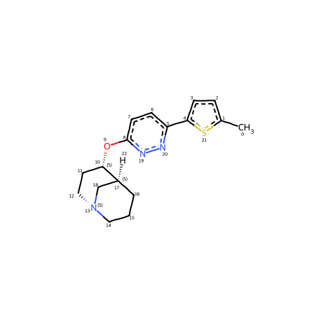 Cc1ccc(-c2ccc(O[C@H]3CC[N@@]4CCC[C@H]3C4)nn2)s1